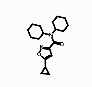 O=C(c1cc(C2CC2)on1)N(C1CCCCC1)C1CCCCC1